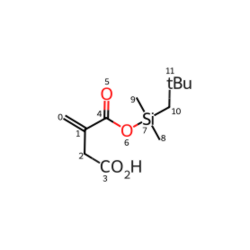 C=C(CC(=O)O)C(=O)O[Si](C)(C)CC(C)(C)C